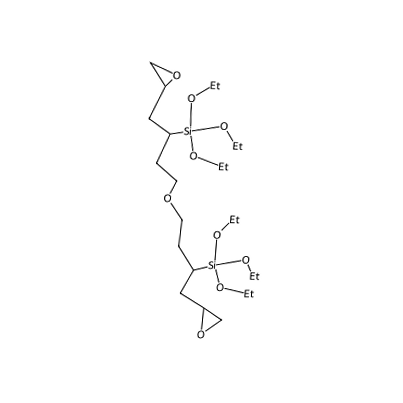 CCO[Si](OCC)(OCC)C(CCOCCC(CC1CO1)[Si](OCC)(OCC)OCC)CC1CO1